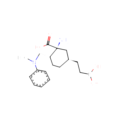 CN(C[C@H]1CC[C@H](CCB(O)O)C[C@@]1(N)C(=O)O)c1ccccc1